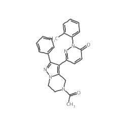 CC(=O)N1CCn2nc(-c3ccccc3)c(-c3ccc(=O)n(-c4ccccc4C)n3)c2C1